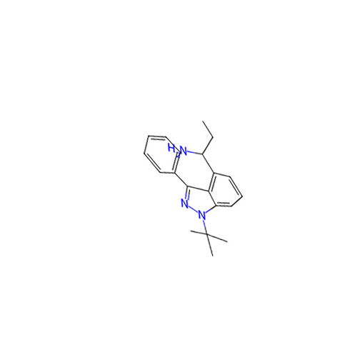 CCC(N)c1cccc2c1c(-c1ccccc1)nn2C(C)(C)C